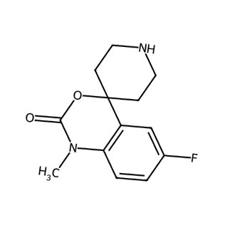 CN1C(=O)OC2(CCNCC2)c2cc(F)ccc21